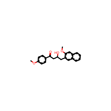 COc1ccc(C(=O)CC(O)Cc2cc3ccccc3cc2OC)cc1